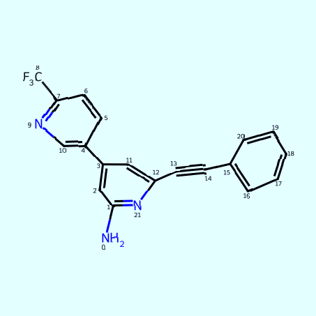 Nc1cc(-c2ccc(C(F)(F)F)nc2)cc(C#Cc2ccccc2)n1